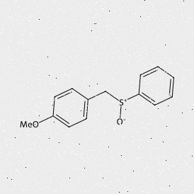 COc1ccc(C[S+]([O-])c2ccccc2)cc1